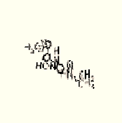 COc1ncccc1-c1ccc(O)c(-c2nc3ccc(C(=O)NCCC(C)C)cc3[nH]2)c1